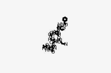 CC(C)C(=O)Nc1nc2c(ncn2[C@@H]2O[C@@H]3COP(=O)(O)O[C@H]4[C@@H](C)[C@H](n5cnc6c(NC(=O)c7ccccc7)nccc65)O[C@@H]4COP(=O)(OCCC#N)O[C@@H]2[C@@H]3C)c(=O)[nH]1